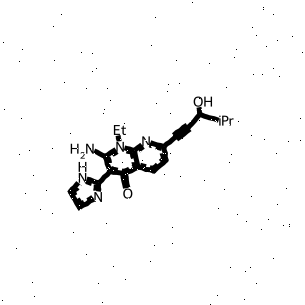 CCn1c(N)c(-c2ncc[nH]2)c(=O)c2ccc(C#CC(O)C(C)C)nc21